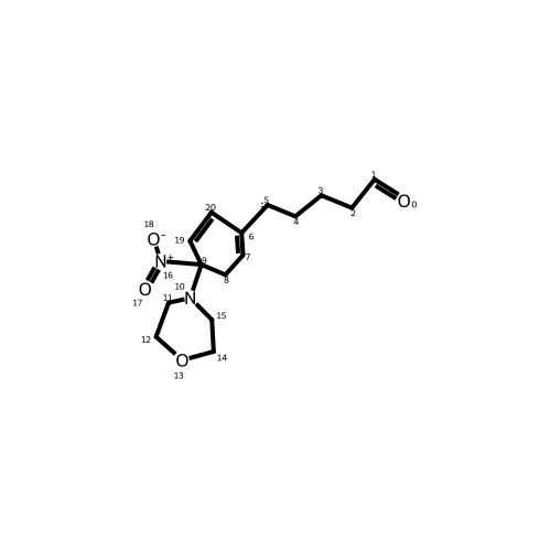 O=CCCC[C]C1=CCC(N2CCOCC2)([N+](=O)[O-])C=C1